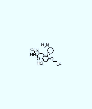 COCCOc1cccc(C=C2SC(=O)NC2=O)c1N1CCC[C@@H](N)C1.Cl